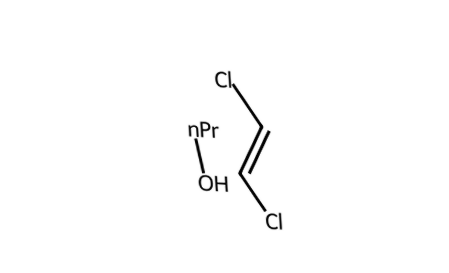 CCCO.Cl/C=C/Cl